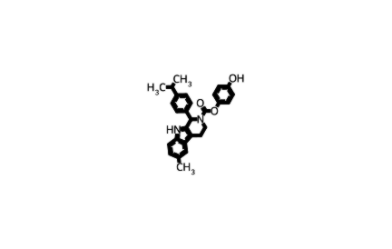 Cc1ccc2[nH]c3c(c2c1)CCN(C(=O)Oc1ccc(O)cc1)C3c1ccc(C(C)C)cc1